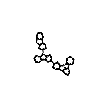 c1ccc2c(c1)Cc1cc(-n3c4ccccc4c4cc(-c5ccc6c7cccc8c9ccccc9n(c6c5)c87)ccc43)ccc1-2